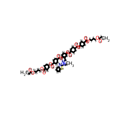 C=CC(=O)OCCCCOC(=O)C1CCC(OC(=O)C2CCC(C(=O)Oc3ccc(OC(=O)C4CCC(C(=O)OC5CCC(C(=O)OCCCCOC(=O)C=C)CC5)CC4)c(/C=N/N(CC)c4nc5ccccc5s4)c3)CC2)CC1